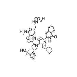 CC(C)(O)c1cnnn1[C@H]1C[C@@H](C(=O)NC(CCCCNC(=O)O)C(=O)C(N)=O)N(C(=O)C(CC2CCCCC2)NC(=O)c2cc3ccccc3c(=O)[nH]2)C1